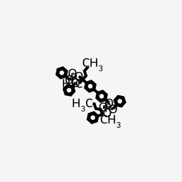 CCCCC(C)(OP(=O)(Oc1ccccc1)Oc1ccc(-c2ccc(C(C)(CCCC)OP(=O)(Oc3ccccc3)Oc3ccccc3)cc2)cc1)c1ccccc1